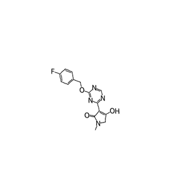 CN1CC(O)=C(c2ncnc(OCc3ccc(F)cc3)n2)C1=O